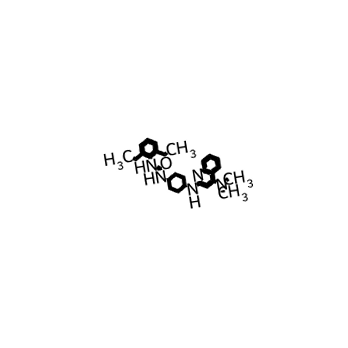 CCc1cccc(CC)c1NC(=O)N[C@H]1CC[C@@H](Nc2cc(N(C)C)c3ccccc3n2)CC1